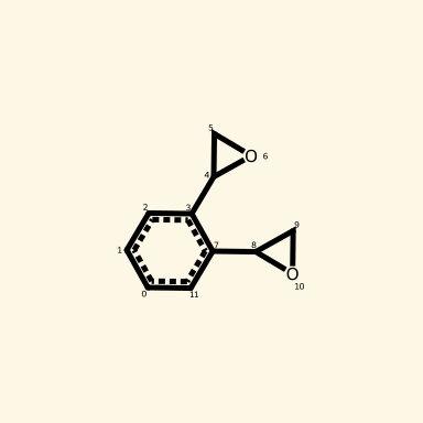 c1ccc(C2CO2)c(C2CO2)c1